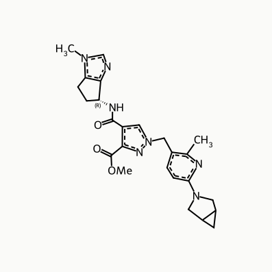 COC(=O)c1nn(Cc2ccc(N3CC4CC4C3)nc2C)cc1C(=O)N[C@@H]1CCc2c1ncn2C